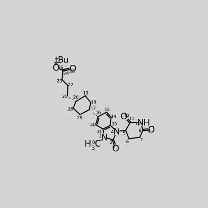 Cn1c(=O)n(C2CCC(=O)NC2=O)c2ccc([C@H]3CC[C@@H](CCCC(=O)OC(C)(C)C)CC3)cc21